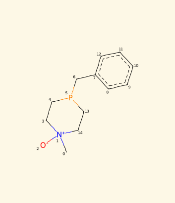 C[N+]1([O-])CCP(Cc2ccccc2)CC1